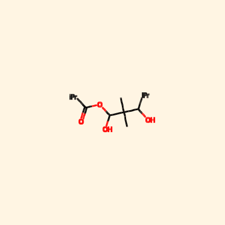 CC(C)C(=O)OC(O)C(C)(C)C(O)C(C)C